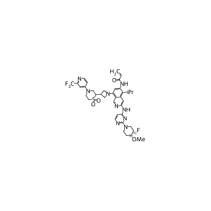 C=CC(=O)Nc1cc(N2CC(C3CN(c4ccnc(C(F)(F)F)c4)CCS3(=O)=O)C2)c2cnc(Nc3ccnc(N4CC[C@@H](OC)[C@@H](F)C4)n3)cc2c1C(C)C